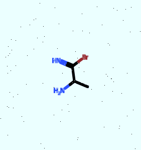 CC(N)C(=N)Br